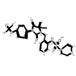 CC1(C)C(=O)N(c2ccc(OC(F)(F)F)cc2)C(=O)N1Cc1ccncc1NS(=O)(=O)N1CCOCC1